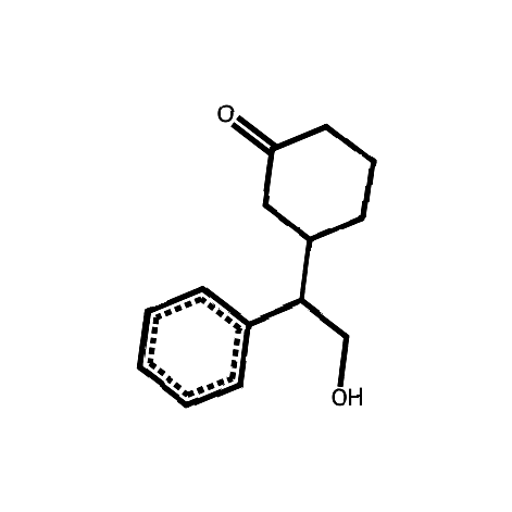 O=C1CCCC(C(CO)c2ccccc2)C1